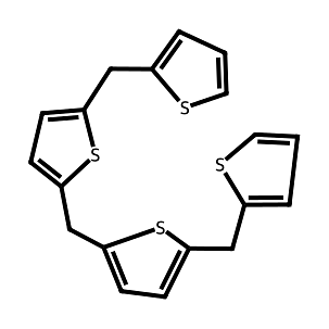 c1csc(Cc2ccc(Cc3ccc(Cc4cccs4)s3)s2)c1